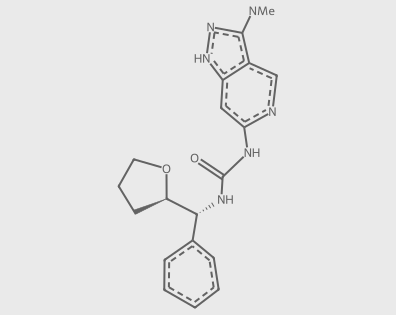 CNc1n[nH]c2cc(NC(=O)N[C@H](c3ccccc3)[C@H]3CCCO3)ncc12